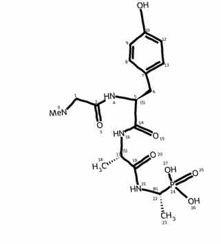 CNCC(=O)N[C@@H](Cc1ccc(O)cc1)C(=O)N[C@@H](C)C(=O)N[C@@H](C)P(=O)(O)O